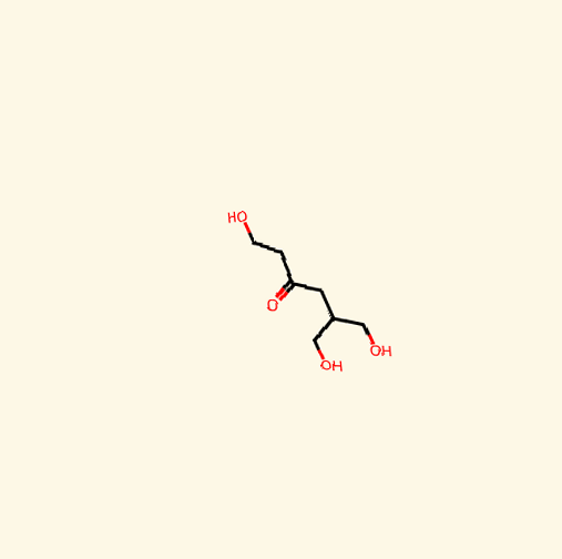 O=C(CCO)CC(CO)CO